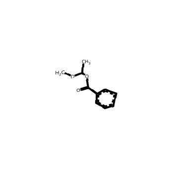 COC(C)OC(=O)c1ccccc1